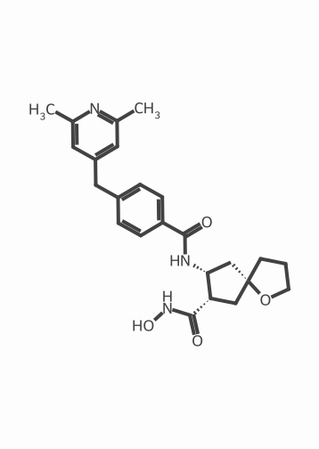 Cc1cc(Cc2ccc(C(=O)N[C@@H]3C[C@@]4(CCCO4)C[C@@H]3C(=O)NO)cc2)cc(C)n1